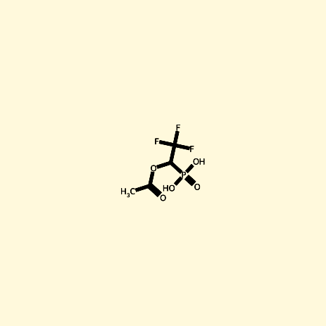 CC(=O)OC(C(F)(F)F)P(=O)(O)O